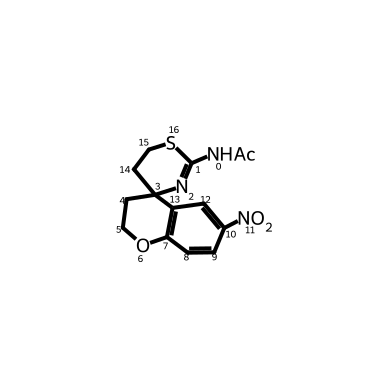 CC(=O)NC1=NC2(CCOc3ccc([N+](=O)[O-])cc32)CCS1